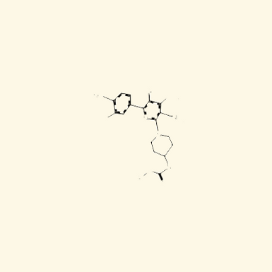 Cc1c(N)c(N2CCC(NC(=O)OC(C)(C)C)CC2)nc(-c2ccc(C#N)c(F)c2)c1Br